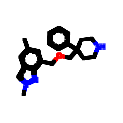 Cc1cc(COCC2(c3ccccc3)CCNCC2)c2nn(C)cc2c1